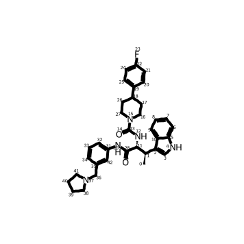 C[C@H](c1c[nH]c2ccccc12)[C@@H](NC(=O)N1CCC(c2ccc(F)cc2)CC1)C(=O)Nc1cccc(CN2CCCC2)c1